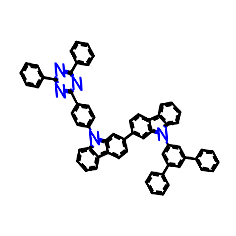 c1ccc(-c2cc(-c3ccccc3)cc(-n3c4ccccc4c4ccc(-c5ccc6c7ccccc7n(-c7ccc(-c8nc(-c9ccccc9)nc(-c9ccccc9)n8)cc7)c6c5)cc43)c2)cc1